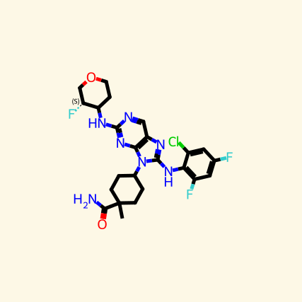 CC1(C(N)=O)CCC(n2c(Nc3c(F)cc(F)cc3Cl)nc3cnc(NC4CCOC[C@H]4F)nc32)CC1